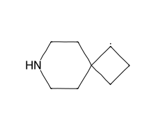 [CH]1CCC12CCNCC2